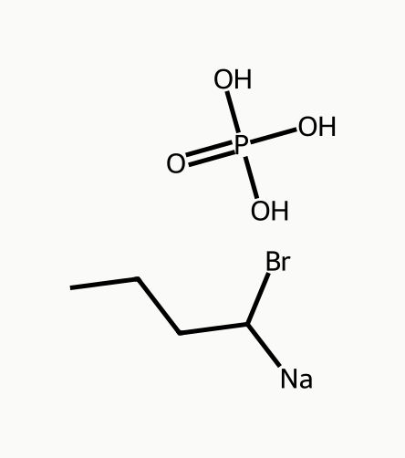 CCC[CH]([Na])Br.O=P(O)(O)O